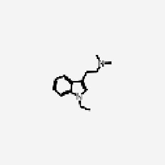 CCn1cc(CCN(C)C)c2ccccc21